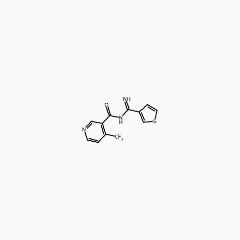 N=C(NC(=O)c1cnccc1C(F)(F)F)c1ccsc1